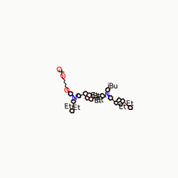 CCC(C)c1ccc(N(c2ccc(-c3ccc4ccc5c(C(CC)(CC)c6ccccc6)ccc6ccc3c4c65)cc2)c2ccc(C(CC)(CC)C(CC)(CC)c3ccc4ccc5c(-c6ccc(N(c7ccc(OCCCCCCOCC8(C)COC8)cc7)c7ccc(C(CC)(CC)c8ccccc8)cc7)cc6)ccc6ccc3c4c65)cc2)cc1